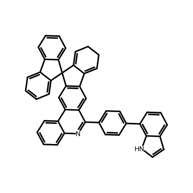 C1=C2C(=CCC1)C1(c3cc4c(cc32)c(-c2ccc(-c3cccc5cc[nH]c35)cc2)nc2ccccc24)c2ccccc2-c2ccccc21